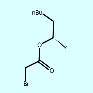 CCCCC[C@H](C)OC(=O)CBr